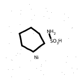 C1CCCCC1.NS(=O)(=O)O.[Ni]